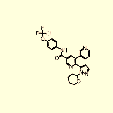 O=C(Nc1ccc(OC(F)(F)Cl)cc1)c1cnc(-c2ccnn2C2CCCCO2)c(-c2cccnc2)c1